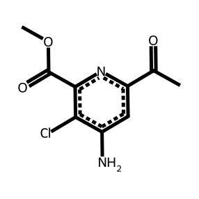 COC(=O)c1nc(C(C)=O)cc(N)c1Cl